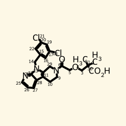 CC(C)(COCC(=O)N1CCc2c(n(Cc3cc(Cl)cc(Cl)c3)c3ncccc23)C1)C(=O)O